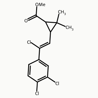 COC(=O)C1C(C=C(Cl)c2ccc(Cl)c(Cl)c2)C1(C)C